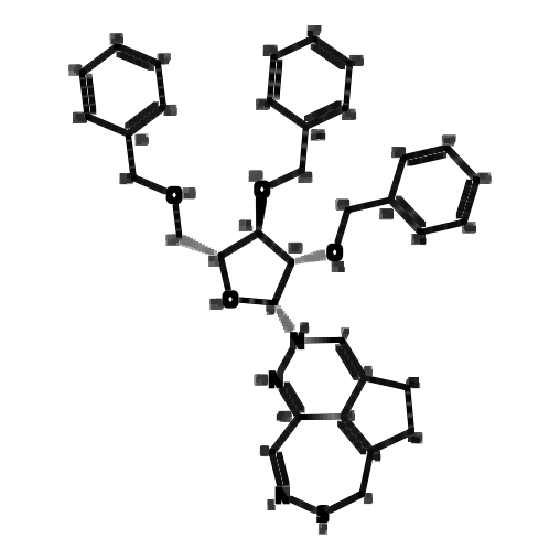 C1=NSCC2=C3C(=CN([C@@H]4O[C@H](COCc5ccccc5)[C@@H](OCc5ccccc5)[C@@H]4OCc4ccccc4)N=C13)CC2